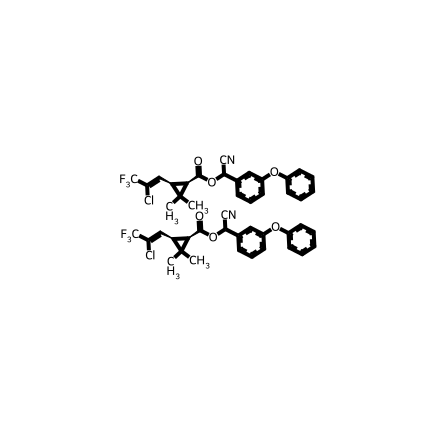 CC1(C)[C@H](C(=O)OC(C#N)c2cccc(Oc3ccccc3)c2)[C@@H]1/C=C(\Cl)C(F)(F)F.CC1(C)[C@H](C(=O)OC(C#N)c2cccc(Oc3ccccc3)c2)[C@@H]1/C=C(\Cl)C(F)(F)F